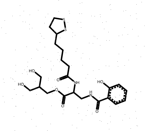 O=C(CCCCC1CCSS1)NC(CNC(=O)c1ccccc1O)C(=O)OCC(CO)CO